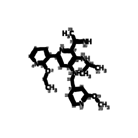 CCOc1ncccc1-c1cc(NCc2ccnc(OC)c2)c(NC(C)C)c(C(C)=N)n1